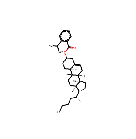 CC(C)CCC[C@@H](C)[C@H]1CC[C@H]2[C@@H]3CC=C4C[C@H](OC(=O)c5ccccc5C([SeH])C#N)CC[C@]4(C)[C@H]3CC[C@]12C